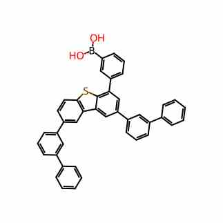 OB(O)c1cccc(-c2cc(-c3cccc(-c4ccccc4)c3)cc3c2sc2ccc(-c4cccc(-c5ccccc5)c4)cc23)c1